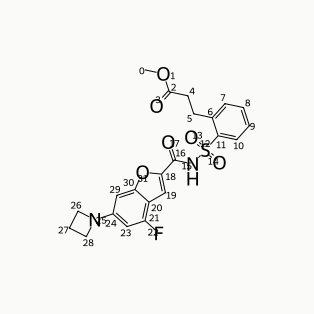 COC(=O)CCc1ccccc1S(=O)(=O)NC(=O)c1cc2c(F)cc(N3CCC3)cc2o1